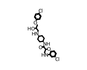 O=C(NC1CCC(NCC(O)COc2ccc(Cl)cc2)CC1)C1CNc2cc(Cl)ccc2O1